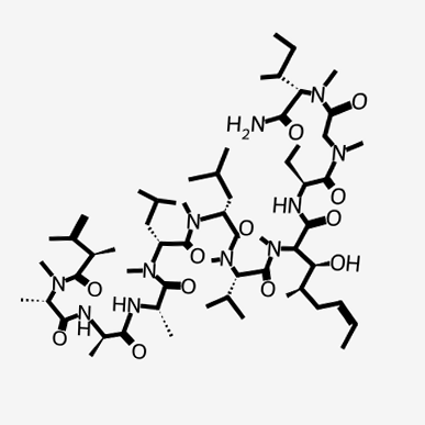 C=C(C)[C@@H](C)C(=O)N(C)[C@@H](C)C(=O)N[C@H](C)C(=O)N[C@@H](C)C(=O)N(C)[C@H](CC(C)C)C(=O)N(C)[C@H](CC(C)C)C(=O)N(C)[C@H](C(=O)N(C)C(C(=O)N[C@@H](CC)C(=O)N(C)CC(=O)N(C)[C@H](C(N)=O)C(C)CC)[C@@H](O)[C@H](C)C/C=C\C)C(C)C